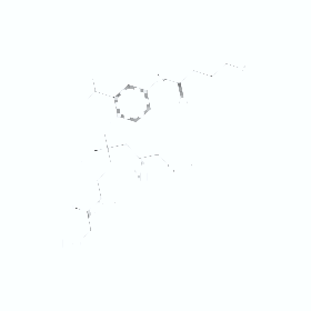 CC(=O)CCCC(=O)Nc1ccc(O[C@](C[C@@H](O)CNC(C)=O)(OC[C@H](O)[C@H](O)CO)C(=O)O)c(C(F)F)c1